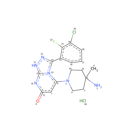 CC1(N)CCN(c2cc(=O)nc3[nH]nc(-c4cccc(Cl)c4F)n23)CC1.Cl